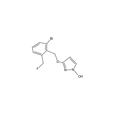 On1ccc(OCc2c(Br)cccc2CF)n1